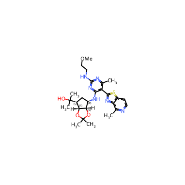 COCCNc1nc(C)c(-c2nc3c(C)nccc3s2)c(N[C@@H]2C[C@H](C(C)(C)O)[C@H]3OC(C)(C)O[C@H]32)n1